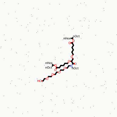 CCCCCCCCC(CCCCCC)OC(=O)CCCCCOCC(OCCCCCC(=O)OC(CCCCCC)CCCCCCCC)C(=O)N(CCCCCCCC)CCOCCOCCOCCOCCO